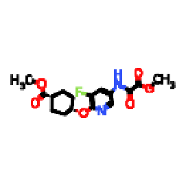 COC(=O)C(=O)Nc1cnc(O[C@H]2CC[C@@H](C(=O)OC)CC2)c(F)c1